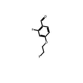 O=Cc1ccc(OCCF)cc1F